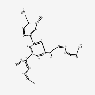 C=C/C=C(\C=C/CBr)c1cc(C(C)/C=C\C=C/CC)nc(/C(C=C)=C/C=C\C)n1